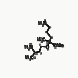 CO[Si](C)(CCCN)OCCC(C)N